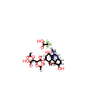 CC(=O)O[C@H](C(=O)O)[C@H](OC(C)=O)C(=O)OC1=CC[C@@]2(O)[C@H]3Cc4ccc(O)c5c4[C@@]2(CCN3C)[C@H]1O5.O=C(O)C(F)(F)F